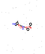 Cc1cc(OCC(O)CNCCOc2ccccc2OC(=O)c2ccccc2)c2cc[nH]c2c1